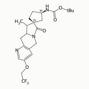 CC1C2Cc3ncc(OCC(F)(F)F)cc3CN2C(=O)[C@]12CC[C@@H](NC(=O)OC(C)(C)C)C2